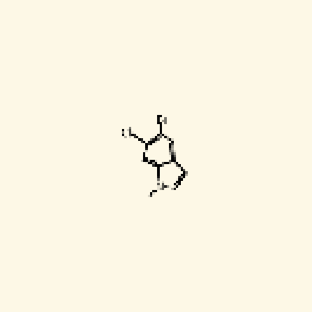 Cn1c[c]c2cc(Br)c(Cl)cc21